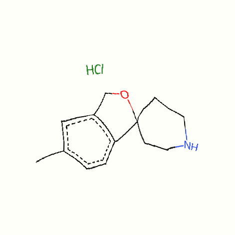 Cc1ccc2c(c1)COC21CCNCC1.Cl